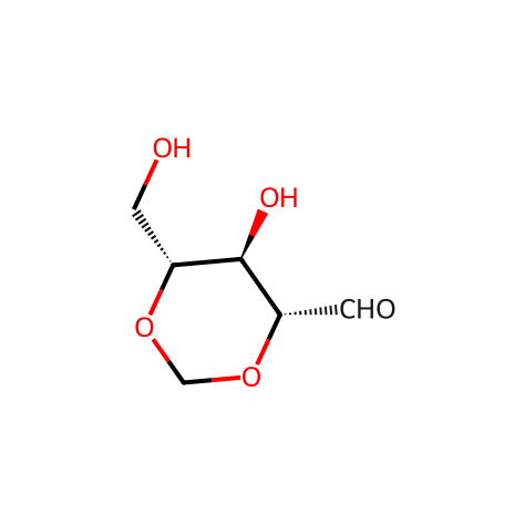 O=C[C@@H]1OCO[C@H](CO)[C@H]1O